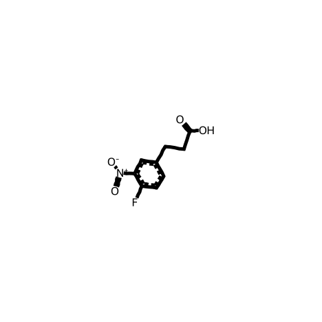 O=C(O)CCc1ccc(F)c([N+](=O)[O-])c1